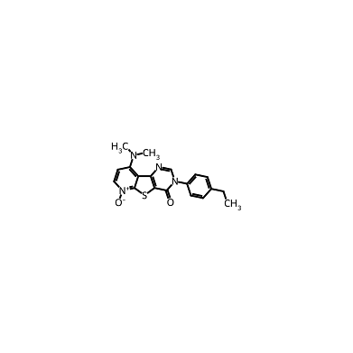 CCc1ccc(-n2cnc3c(sc4c3c(N(C)C)cc[n+]4[O-])c2=O)cc1